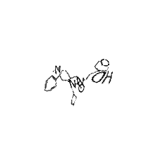 CN(C)[C@]1(c2ccccc2)CC[C@@]2(CC1)CN(CCC1(O)CCOCC1)C(=O)N2CC1CCC1